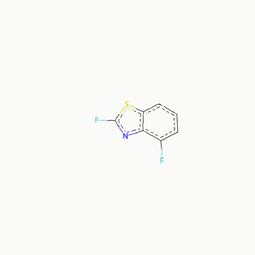 Fc1nc2c(F)cccc2s1